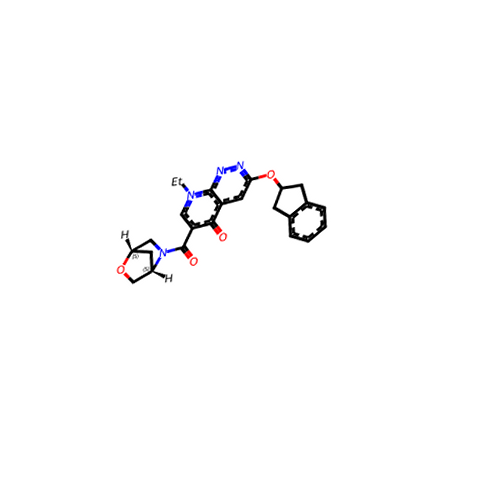 CCn1cc(C(=O)N2C[C@@H]3C[C@H]2CO3)c(=O)c2cc(OC3Cc4ccccc4C3)nnc21